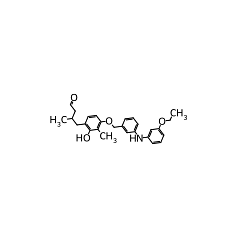 CCOc1cccc(Nc2cccc(COc3ccc(CC(C)CC=O)c(O)c3C)c2)c1